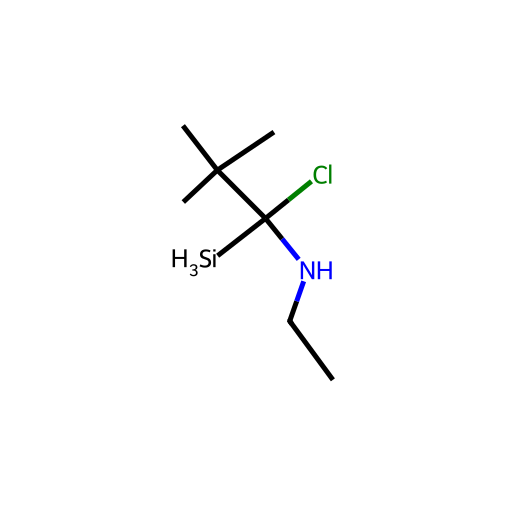 CCNC([SiH3])(Cl)C(C)(C)C